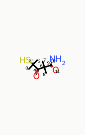 CC(C)(S)C(=O)C(C)(C)C(N)=O